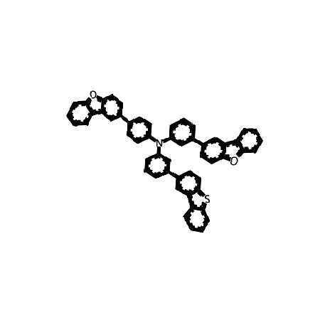 c1cc(-c2ccc3oc4ccccc4c3c2)cc(N(c2ccc(-c3ccc4oc5ccccc5c4c3)cc2)c2cccc(-c3ccc4sc5ccccc5c4c3)c2)c1